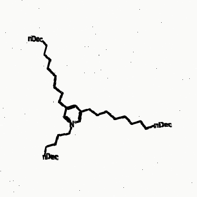 CCCCCCCCCCCCCCCCCCc1cc(CCCCCCCCCCCCCCCCCC)c[n+](CCCCCCCCCCCCCC)c1